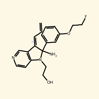 C=C/C=C1/c2cnccc2N(CCO)C1(N)c1cccc(OCCF)c1